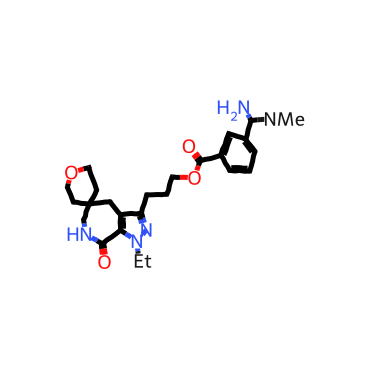 CCn1nc(CCCOC(=O)c2cccc(C(N)NC)c2)c2c1C(=O)NCC1(CCOCC1)C2